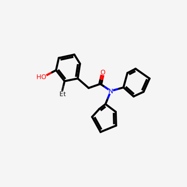 CCc1c(O)cccc1CC(=O)N(c1ccccc1)c1ccccc1